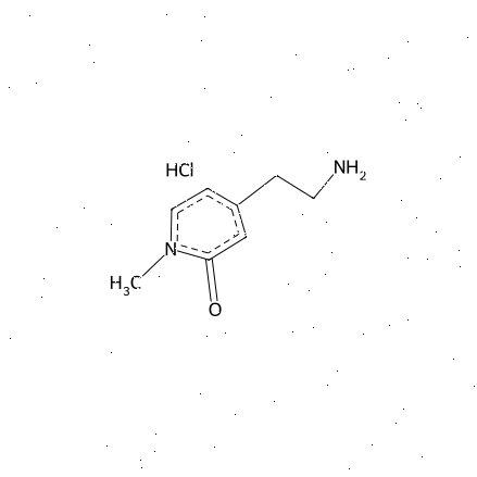 Cl.Cn1ccc(CCN)cc1=O